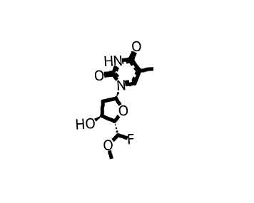 COC(F)[C@H]1O[C@@H](n2cc(C)c(=O)[nH]c2=O)C[C@@H]1O